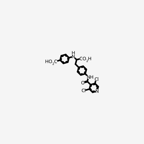 O=C(O)c1ccc(NC(Cc2ccc(NC(=O)c3c(Cl)cncc3Cl)cc2)C(=O)O)cc1